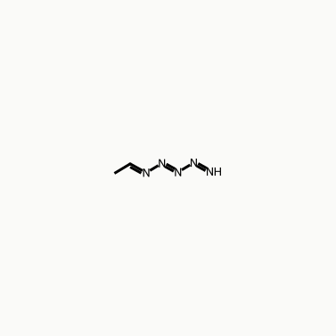 CC=NN=NN=N